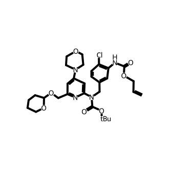 C=CCOC(=O)Nc1cc(CN(C(=O)OC(C)(C)C)c2cc(N3CCOCC3)cc(COC3CCCCO3)n2)ccc1Cl